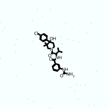 CC(C)C(NC(=O)c1cccc(NC(N)=O)c1)C(=O)N1CCC(O)(c2ccc(Cl)cc2)C(C)(C)C1